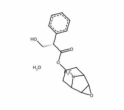 CN1C2CC(OC(=O)[C@H](CO)c3ccccc3)CC1C1OC12.O